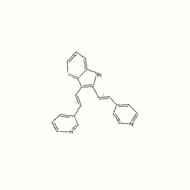 C(=C\c1[nH]c2ccccc2c1/C=C/c1cccnc1)/c1ccncc1